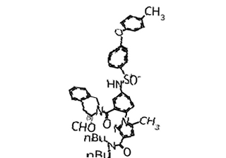 CCCCN(CCCC)C(=O)c1cc(C)n(-c2ccc(N[S+]([O-])c3ccc(Oc4ccc(C)cc4)cc3)cc2C(=O)N2Cc3ccccc3C[C@H]2C=O)n1